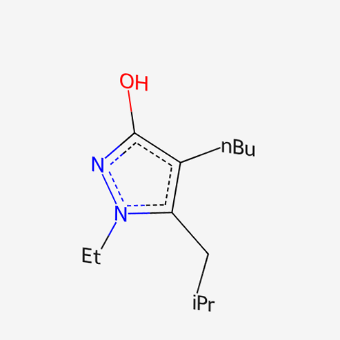 CCCCc1c(O)nn(CC)c1CC(C)C